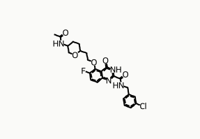 CC(=O)NC1CCC(CCOc2c(F)ccc3nc(C(=O)NCc4cccc(Cl)c4)[nH]c(=O)c23)OC1